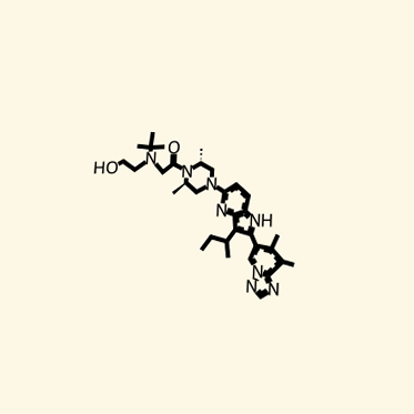 CCC(C)c1c(-c2cn3ncnc3c(C)c2C)[nH]c2ccc(N3C[C@@H](C)N(C(=O)CN(CCO)C(C)(C)C)[C@H](C)C3)nc12